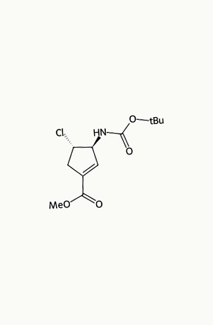 COC(=O)C1=C[C@H](NC(=O)OC(C)(C)C)[C@@H](Cl)C1